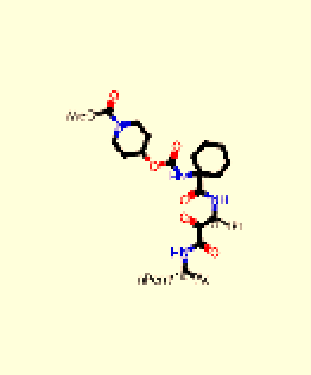 CCCCC[C@H](NC(=O)C(=O)[C@@H](NC(=O)C1(NC(=O)OC2CCN(C(=O)OC)CC2)CCCCC1)C(C)C)C(C)=O